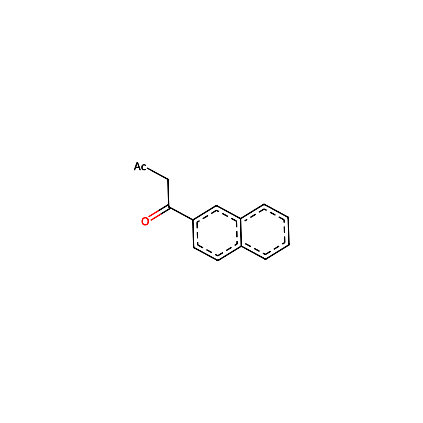 CC(=O)CC(=O)c1ccc2ccccc2c1